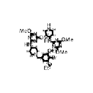 CCOc1cc(CN2CCC(Nc3nc(OC)nc(OC)n3)CC2)cc(OCC)c1Br.COc1nc(NC2CCNCC2)nc(OC)n1